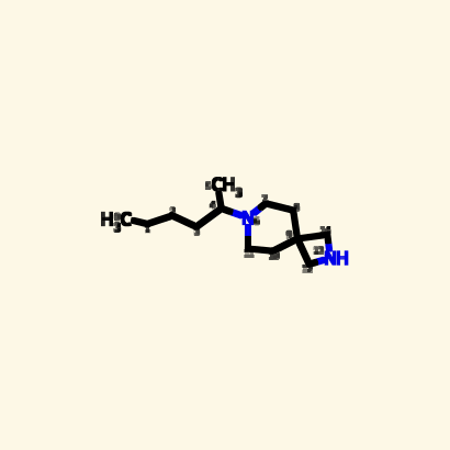 CCCCC(C)N1CCC2(CC1)CNC2